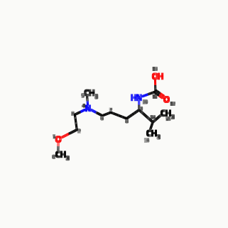 COCCN(C)CCCC(NC(=O)O)C(C)C